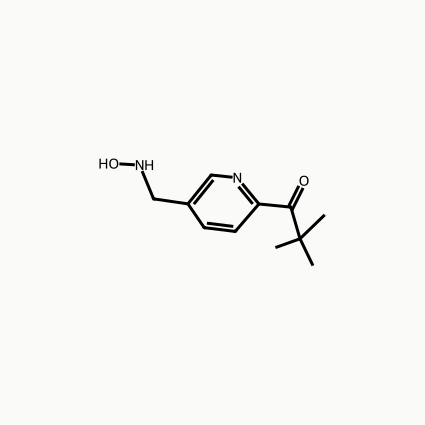 CC(C)(C)C(=O)c1ccc(CNO)cn1